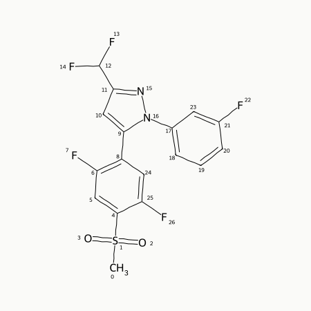 CS(=O)(=O)c1cc(F)c(-c2cc(C(F)F)nn2-c2cccc(F)c2)cc1F